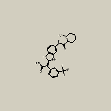 CN1CCCC[C@H]1C(=O)Nc1ccc2c(c1)N/C(=C(/C(N)=O)c1nccc(C(F)(F)F)n1)N2